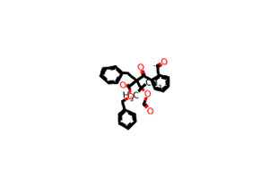 CC(C)(O[C]=O)C(Cc1ccccc1)(C(=O)OCc1ccccc1)C(=O)c1ccccc1[C]=O